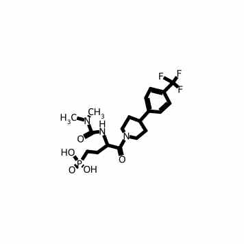 CN(C)C(=O)NC(CCP(=O)(O)O)C(=O)N1CCC(c2ccc(C(F)(F)F)cc2)CC1